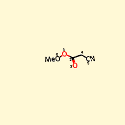 COOC(=O)CC#N